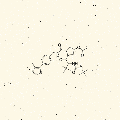 CC(=O)O[C@@H]1C[C@@H](C(=O)NCc2ccc(-c3scnc3C)cc2)N(C(=O)C(NC(=O)OC(C)(C)C)C(C)(C)C)C1